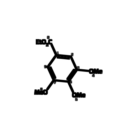 C[CH]OC(=O)c1cc(OC)c(OC)c(OC)c1